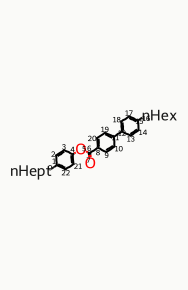 CCCCCCCc1ccc(OC(=O)c2ccc(-c3ccc(CCCCCC)cc3)cc2)cc1